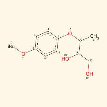 CCC(C)Oc1ccc(OC(C)C(O)CO)cc1